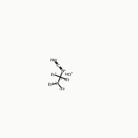 CCN(CC)C(CC)(CC)N=C=N.Cl